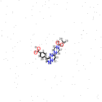 COC(=O)c1ccc(-c2cnn3ccc(N4CCN(C(=O)OC(C)C)CC4)nc23)cc1